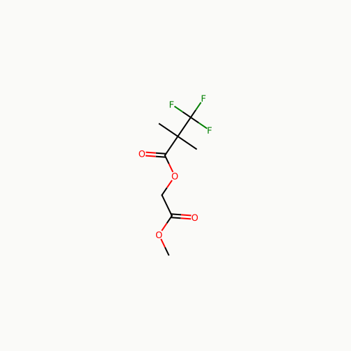 COC(=O)COC(=O)C(C)(C)C(F)(F)F